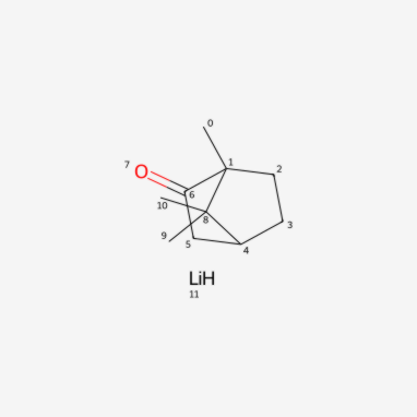 CC12CCC(CC1=O)C2(C)C.[LiH]